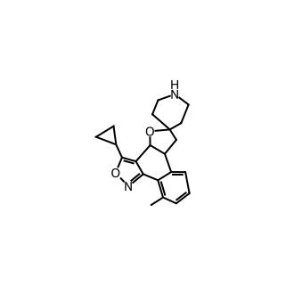 Cc1cccc2c1-c1noc(C3CC3)c1C1OC3(CCNCC3)CC21